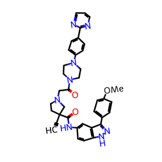 C#CC1(C(=O)Nc2ccc3[nH]nc(-c4ccc(OC)cc4)c3c2)CCN(CC(=O)N2CCN(c3ccc(-c4ncccn4)cc3)CC2)C1